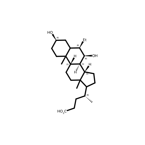 CC[C@@H]1C2C[C@H](O)CCC2(C)[C@H]2CCC3(C)C([C@H](C)CCC(=O)O)CC[C@H]3[C@@H]2[C@@H]1O